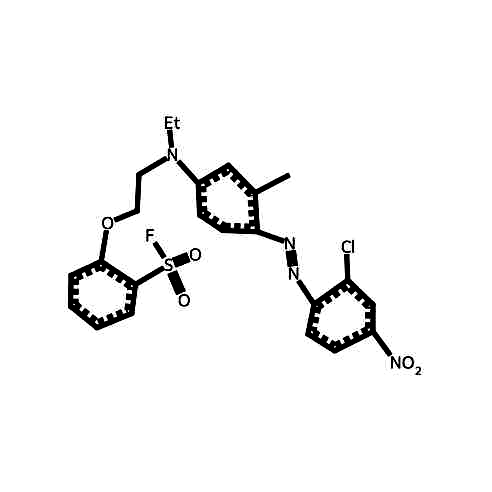 CCN(CCOc1ccccc1S(=O)(=O)F)c1ccc(N=Nc2ccc([N+](=O)[O-])cc2Cl)c(C)c1